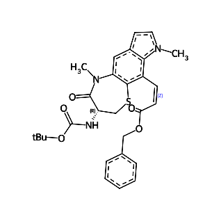 CN1C(=O)[C@@H](NC(=O)OC(C)(C)C)CSc2c1cc1ccn(C)c1c2/C=C\C(=O)OCc1ccccc1